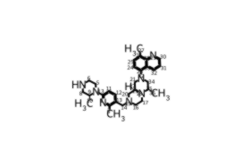 Cc1nc(N2CCNC[C@@H]2C)ccc1CN1CCN2[C@@H](C1)CN(c1ccc(C)c3ncccc13)C[C@H]2C